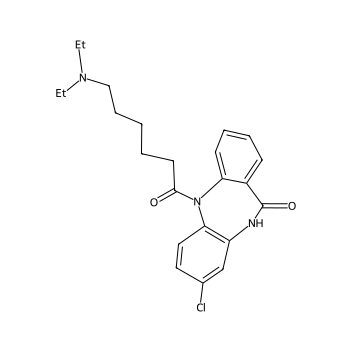 CCN(CC)CCCCCC(=O)N1c2ccc(Cl)cc2NC(=O)c2ccccc21